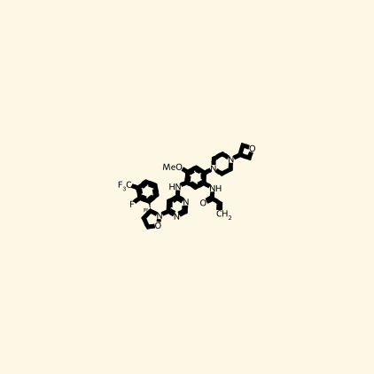 C=CC(=O)Nc1cc(Nc2cc(N3OCC[C@@H]3c3cccc(C(F)(F)F)c3F)ncn2)c(OC)cc1N1CCN(C2COC2)CC1